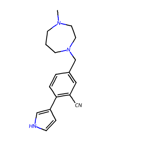 CN1CCCN(Cc2ccc(-c3cc[nH]c3)c(C#N)c2)CC1